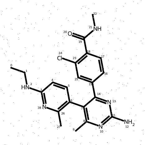 CCNc1ccc(-c2c(C)nc(N)nc2-c2ccc(C(=O)NC)c(Cl)c2)c(C)n1